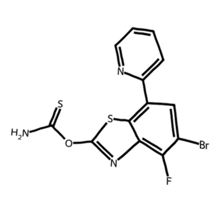 NC(=S)Oc1nc2c(F)c(Br)cc(-c3ccccn3)c2s1